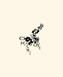 Cc1sc2c(c1C)C(c1ccc(Cl)cc1)=N[C@@H](CC(=O)N1CCN(CN=[N+]=[N-])CC1)c1nnc(C)n1-2